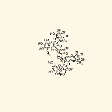 CC(=O)N[C@H]1[C@H](O[C@H]2[C@@H](O)[C@@H](CO)O[C@@H](O[C@H]3[C@H](O[C@@H]4O[C@@H](C)[C@@H](O)[C@@H](O)[C@@H]4O)[C@@H](NC(C)=O)[C@H](O[C@H]4[C@@H](O)[C@@H](CO)O[C@@H](O[C@H]5[C@H](O)[C@@H](O)[C@H](O)O[C@@H]5CO)[C@@H]4O)O[C@@H]3CO)[C@@H]2O)O[C@H](CO)[C@@H](O[C@@H]2O[C@@H](C)[C@@H](O)[C@@H](O)[C@@H]2O)[C@@H]1O[C@@H]1O[C@H](CO)[C@H](O)[C@H](O)[C@H]1O